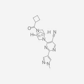 Cn1cc(-c2ncc(C#N)c(N3C[C@H]4C[C@H]3CN4C(=O)C3CCC3)n2)cn1